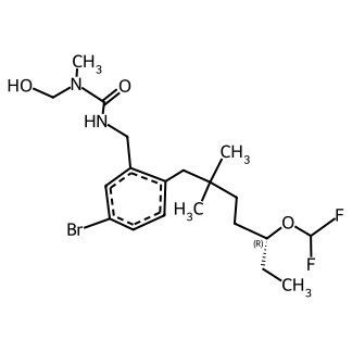 CC[C@H](CCC(C)(C)Cc1ccc(Br)cc1CNC(=O)N(C)CO)OC(F)F